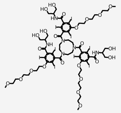 COCCOCCOCCOc1c(I)c(C(=O)NC(CO)CO)c(I)c(C(=O)N2CCN(C(=O)c3c(I)c(OCCOCCOCCOC)c(I)c(C(=O)NC(CO)CO)c3I)CCN(C(=O)c3c(I)c(OCCOCCOCCOC)c(I)c(C(=O)NC(CO)CO)c3I)CC2)c1I